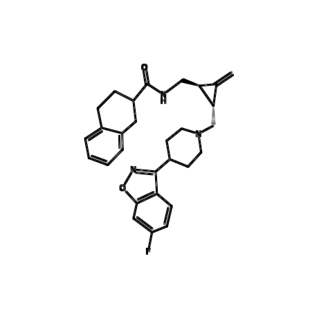 C=C1[C@H](CNC(=O)C2CCc3ccccc3C2)[C@H]1CN1CCC(c2noc3cc(F)ccc23)CC1